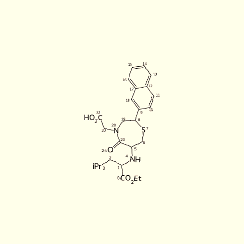 CCOC(=O)C(CC(C)C)NC1CSC(c2ccc3ccccc3c2)CN(CC(=O)O)C1=O